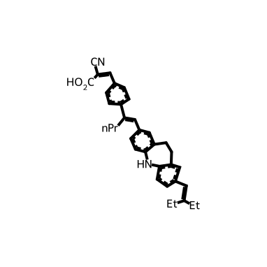 CCC/C(=C\c1ccc2c(c1)CCc1cc(C=C(CC)CC)ccc1N2)c1ccc(/C=C(/C#N)C(=O)O)cc1